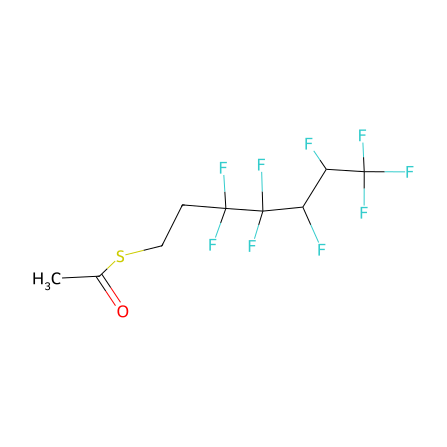 CC(=O)SCCC(F)(F)C(F)(F)C(F)C(F)C(F)(F)F